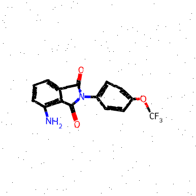 Nc1cccc2c1C(=O)N(c1ccc(OC(F)(F)F)cc1)C2=O